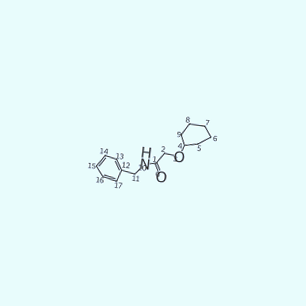 O=C(COC1CCCCC1)NCc1ccccc1